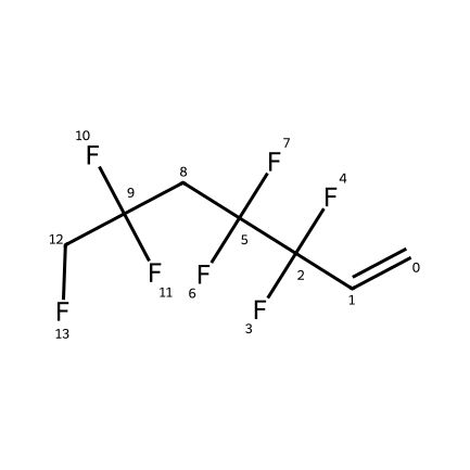 C=CC(F)(F)C(F)(F)CC(F)(F)CF